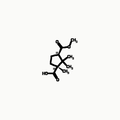 COC(=O)[C@@H]1CC[C@](C)(C(=O)O)C1(C)C